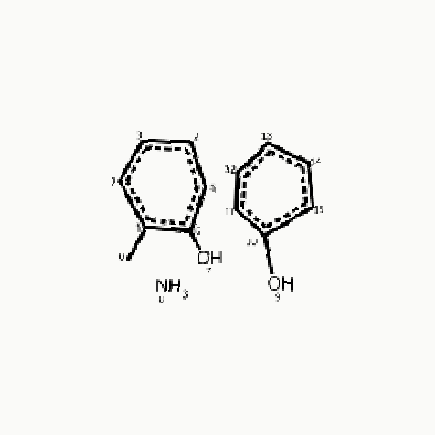 Cc1ccccc1O.N.Oc1ccccc1